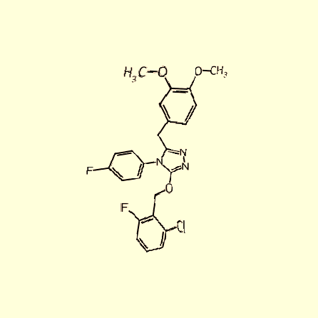 COc1ccc(Cc2nnc(OCc3c(F)cccc3Cl)n2-c2ccc(F)cc2)cc1OC